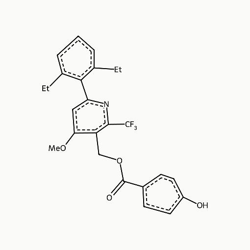 CCc1cccc(CC)c1-c1cc(OC)c(COC(=O)c2ccc(O)cc2)c(C(F)(F)F)n1